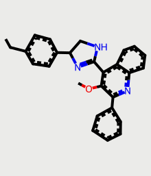 CCc1ccc(C2CNC(c3c(OC)c(-c4ccccc4)nc4ccccc34)=N2)cc1